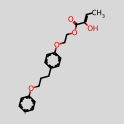 CC=C(O)C(=O)OCCOc1ccc(CCCOc2cc[c]cc2)cc1